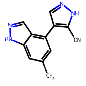 N#Cc1[nH]ncc1-c1cc(C(F)(F)F)cc2[nH]ncc12